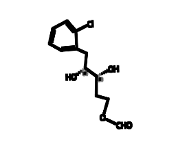 O=COCC[C@@H](O)[C@H](O)Cc1ccccc1Cl